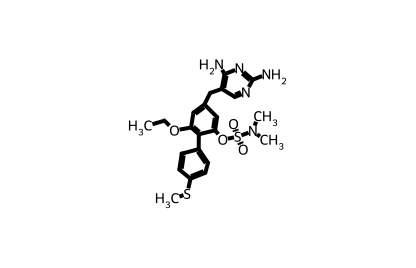 CCOc1cc(Cc2cnc(N)nc2N)cc(OS(=O)(=O)N(C)C)c1-c1ccc(SC)cc1